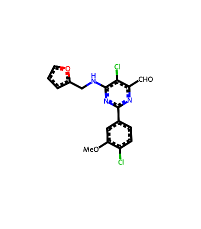 COc1cc(-c2nc(C=O)c(Cl)c(NCc3ccco3)n2)ccc1Cl